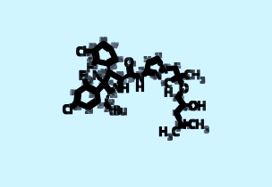 CN(C)C[C@H](O)COC(C)(C)Cn1ccc(NC(=O)[C@H]2N[C@H](CC(C)(C)C)[C@@](N)(c3ccc(Cl)cc3F)[C@@H]2c2cccc(Cl)c2F)n1